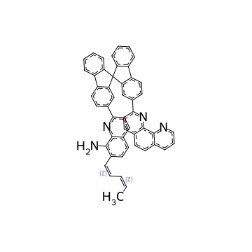 C/C=C\C=C/c1ccc2ccc(-c3ccc4c(c3)C3(c5ccccc5-4)c4ccccc4-c4ccc(-c5ccc6ccc7cccnc7c6n5)cc43)nc2c1N